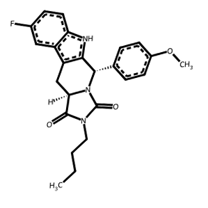 CCCCN1C(=O)[C@H]2Cc3c([nH]c4ccc(F)cc34)[C@H](c3ccc(OC)cc3)N2C1=O